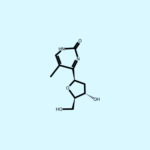 Cc1c[nH]c(=O)nc1[C@H]1C[C@H](O)[C@@H](CO)O1